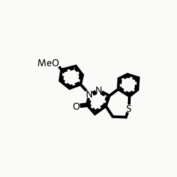 COc1ccc(-n2nc3c(cc2=O)CCSc2ccccc2-3)cc1